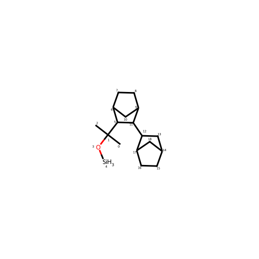 CC(C)(O[SiH3])C1C2CCC(C2)C1C1CC2CCC1C2